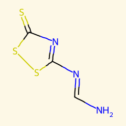 N/C=N/c1nc(=S)ss1